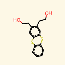 OCCc1cc2c(cc1CCO)Sc1ccccc1S2